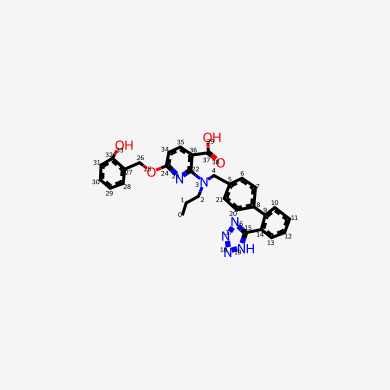 CCCN(Cc1ccc(-c2ccccc2-c2nnn[nH]2)cc1)c1nc(OCc2ccccc2O)ccc1C(=O)O